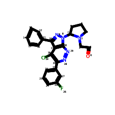 O=CCN1CCCC1n1nc(-c2ccccc2)c2c(Cl)c(-c3cccc(F)c3)nnc21